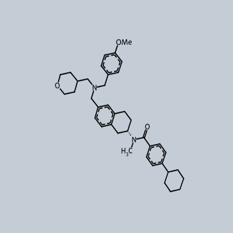 COc1ccc(CN(Cc2ccc3c(c2)CC[C@H](N(C)C(=O)c2ccc(C4CCCCC4)cc2)C3)CC2CCOCC2)cc1